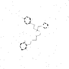 Fc1ccc(CCC2(Cn3ccnc3)OCC(COCc3c(Cl)cccc3Cl)O2)cc1